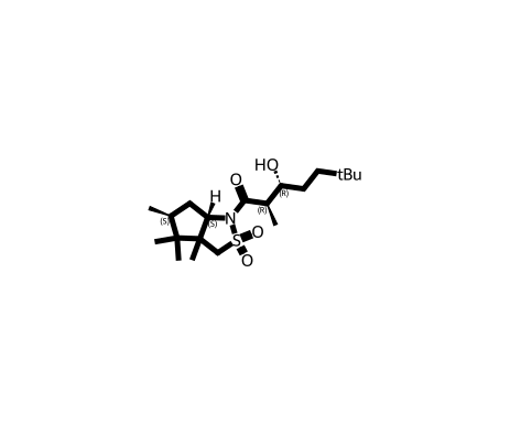 C[C@@H](C(=O)N1[C@H]2C[C@H](C)C(C)(C)C2(C)CS1(=O)=O)[C@H](O)CCC(C)(C)C